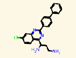 NCCC(N)c1nc(-c2ccc(-c3ccccc3)cc2)nc2cc(Cl)ccc12